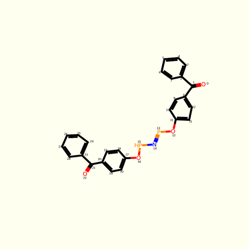 O=C(c1ccccc1)c1ccc(OP=NPOc2ccc(C(=O)c3ccccc3)cc2)cc1